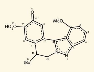 COc1cccc2nn3c(c12)-c1cc(=O)c(C(=O)O)cn1C(C(C)(C)C)C3